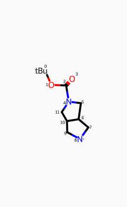 CC(C)(C)OC(=O)N1CC2C[N]CC2C1